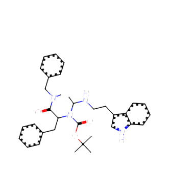 CC(NCCc1c[nH]c2ccccc12)N(C(=O)OC(C)(C)C)C(Cc1ccccc1)C(=O)N(C)Cc1ccccc1